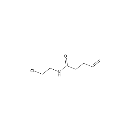 C=CCCC(=O)NCCCl